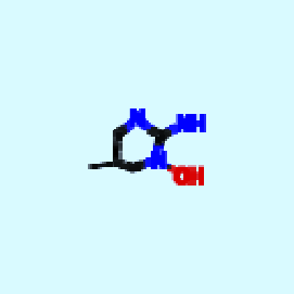 Cc1cnc(=N)n(O)c1